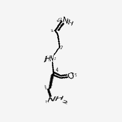 N=CCNC(=O)CN